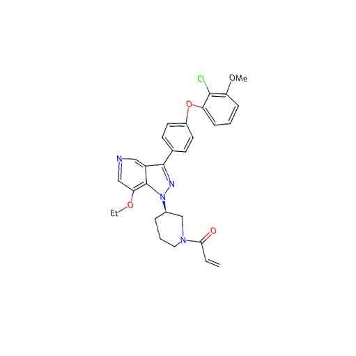 C=CC(=O)N1CCC[C@@H](n2nc(-c3ccc(Oc4cccc(OC)c4Cl)cc3)c3cncc(OCC)c32)C1